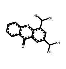 CC(S)c1cc(C(C)S)c2oc3ccccc3c(=O)c2c1